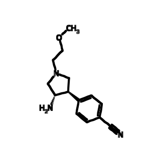 COCCN1C[C@@H](N)[C@H](c2ccc(C#N)cc2)C1